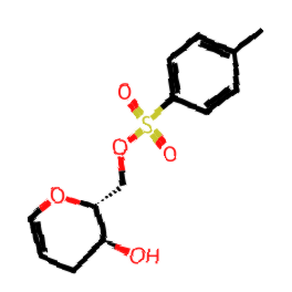 Cc1ccc(S(=O)(=O)OC[C@H]2OC=CC[C@@H]2O)cc1